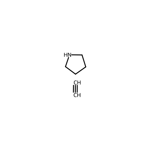 C#C.C1CCNC1